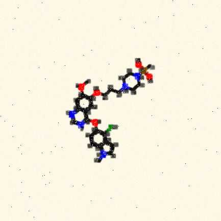 COc1cc2ncnc(Oc3ccc4c(ccn4C)c3F)c2cc1OCCCN1CCN(S(C)(=O)=O)CC1